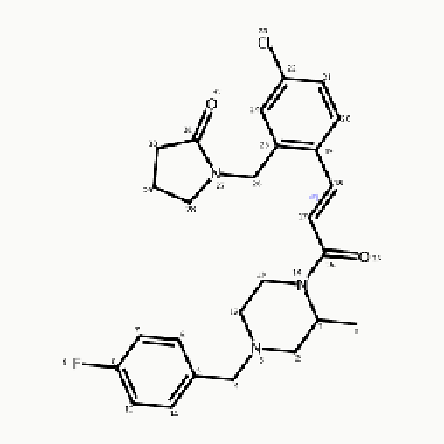 CC1CN(Cc2ccc(F)cc2)CCN1C(=O)/C=C/c1ccc(Cl)cc1CN1CCCC1=O